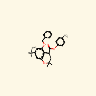 CCCCCCC(C)(C)c1cc(OCc2ccccc2)c2c(c1)OC(C)(C)CC2C(=O)Oc1ccc([N+](=O)[O-])cc1